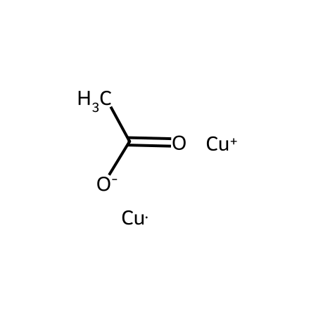 CC(=O)[O-].[Cu+].[Cu]